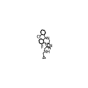 Fc1cccc2c1-n1c(nnc1CNCC1CC1)CN=C2c1ccccc1Cl